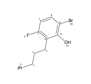 CC(C)CCCc1c(F)ccc(Br)c1O